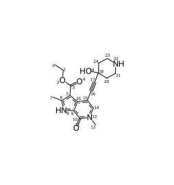 CCOC(=O)c1c(C)[nH]c2c(=O)n(C)cc(C#CC3(O)CCNCC3)c12